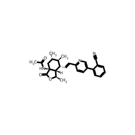 CC(=O)N[C@@]12C[C@H](C)[C@@H](C)[C@H](/C=C/c3ccc(-c4ccccc4C#N)cn3)[C@@H]1[C@@H](C)OC2=O